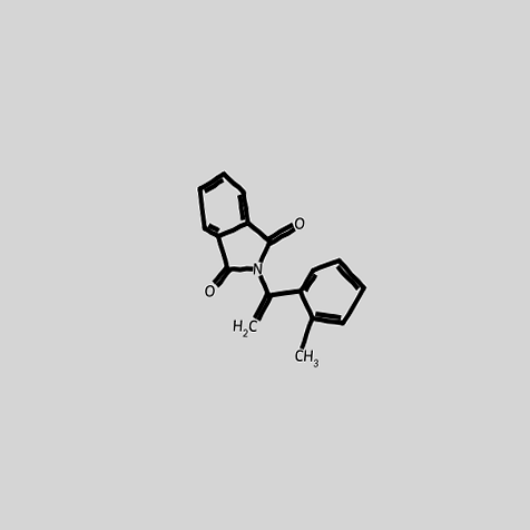 C=C(c1ccccc1C)N1C(=O)c2ccccc2C1=O